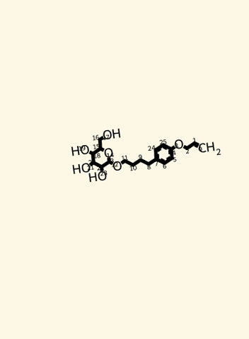 C=CCOc1ccc(CCCCOC2OC(CO)C(O)C(O)C2O)cc1